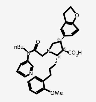 CCCCN(C(=O)CN1C[C@H](c2ccc3c(c2)CCO3)[C@@H](C(=O)O)[C@@H]1CCCc1ccccc1OC)c1cccnc1